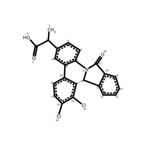 CC(C(=O)O)c1ccc(N2Cc3ccccc3C2=O)c(-c2ccc(Cl)c(Cl)c2)c1